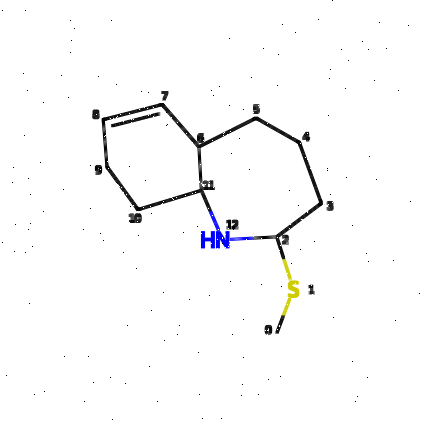 CSC1CCCC2C=CCCC2N1